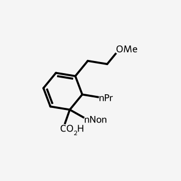 CCCCCCCCCC1(C(=O)O)C=CC=C(CCOC)C1CCC